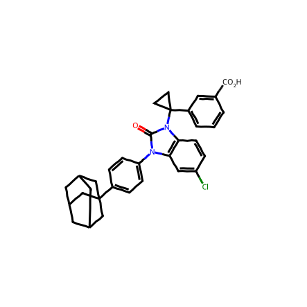 O=C(O)c1cccc(C2(n3c(=O)n(-c4ccc(C56CC7CC(CC(C7)C5)C6)cc4)c4cc(Cl)ccc43)CC2)c1